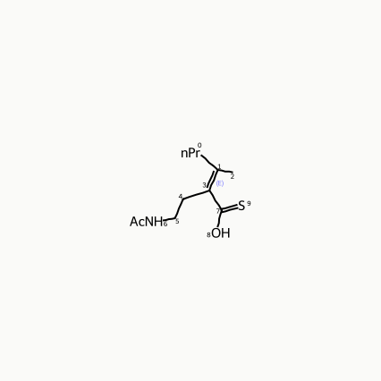 CCC/C(C)=C(\CCNC(C)=O)C(O)=S